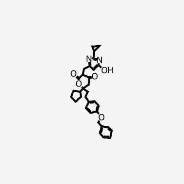 O=C1CC(CCc2ccc(OCc3ccccc3)cc2)(C2CCCC2)OC(=O)C1Cc1cc(O)nc(C2CC2)n1